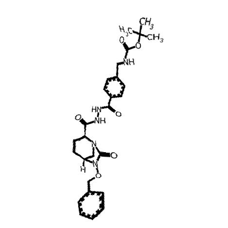 CC(C)(C)OC(=O)NCc1ccc(C(=O)NNC(=O)[C@@H]2CC[C@@H]3CN2C(=O)N3OCc2ccccc2)cc1